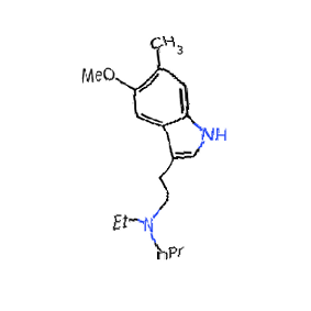 CCCN(CC)CCc1c[nH]c2cc(C)c(OC)cc12